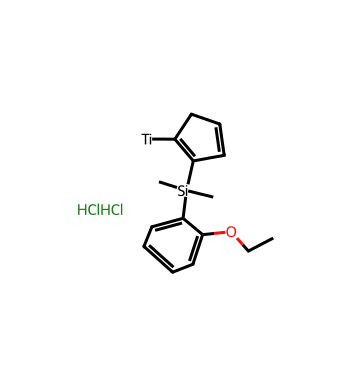 CCOc1ccccc1[Si](C)(C)C1=[C]([Ti])CC=C1.Cl.Cl